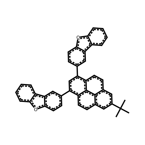 CC(C)(C)c1cc2ccc3c(-c4ccc5oc6ccccc6c5c4)cc(-c4ccc5oc6ccccc6c5c4)c4ccc(c1)c2c34